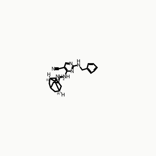 N#Cc1cnc(NCc2ccccc2)nc1NC[C@]12CC3C[C@H](C1)[C@@H](N)[C@@H](C3)C2